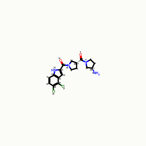 N[C@@H]1CCN(C(=O)[C@@H]2CCN(C(=O)c3cc4c(Cl)c(Cl)ccc4[nH]3)C2)C1